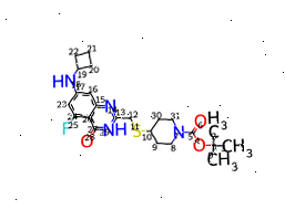 CC(C)(C)OC(=O)N1CCC(SCc2nc3cc(NC4CCC4)cc(F)c3c(=O)[nH]2)CC1